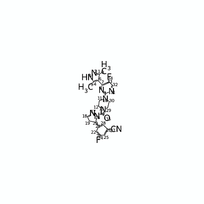 Cc1n[nH]c(C)c1-c1nc(N2CCN(C(=O)N3N=CCC3c3cc(F)cc(C#N)c3)CC2)ncc1F